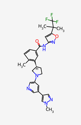 Cc1ccc(C(=O)Nc2cc(C(C)(C)C(F)(F)F)on2)cc1[C@H]1CCN(c2cncc(-c3cnn(C)c3)c2)C1